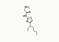 CCCCC(CC)c1csc(NC(=O)CN)n1